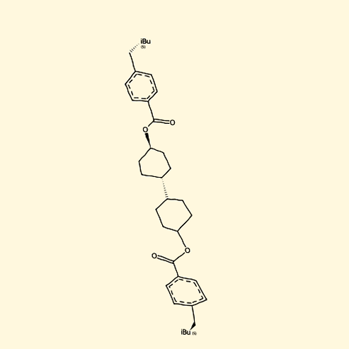 CC[C@H](C)Cc1ccc(C(=O)OC2CCC([C@H]3CC[C@H](OC(=O)c4ccc(C[C@@H](C)CC)cc4)CC3)CC2)cc1